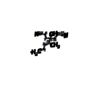 [CH2]C/C=C(\C)C(O)(CCC#N)CCC#N